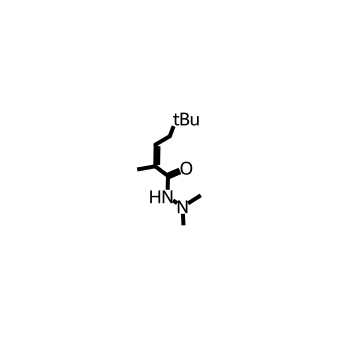 CC(=CCC(C)(C)C)C(=O)NN(C)C